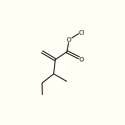 C=C(C(=O)OCl)C(C)CC